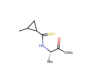 COC(=O)[C@@H](NC(=S)C1CC1C)C(C)(C)C